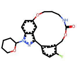 O=C1NCCCOc2ccc3c(c2)c(nn3C2CCCCO2)-c2ccc(F)c(c2)CO1